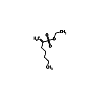 C=C(CCCCC)S(=O)(=O)OCC